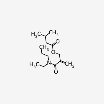 C=C(COC(=O)CC(C)C)C(=O)N(CC)CCC